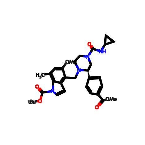 COC(=O)c1ccc([C@H]2CN(C(=O)NC3CC3)CCN2Cc2c(OC)cc(C)c3c2ccn3C(=O)OC(C)(C)C)cc1